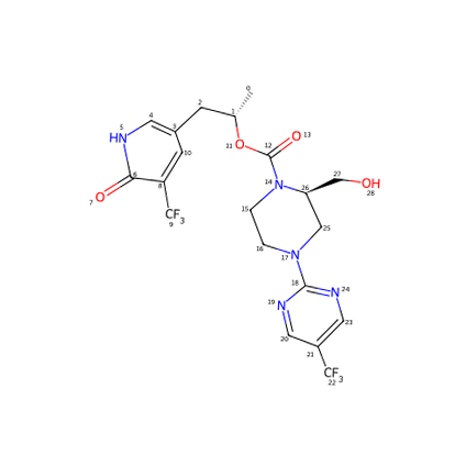 C[C@@H](Cc1c[nH]c(=O)c(C(F)(F)F)c1)OC(=O)N1CCN(c2ncc(C(F)(F)F)cn2)C[C@@H]1CO